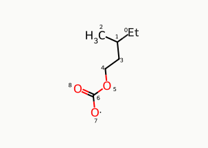 CCC(C)CCOC([O])=O